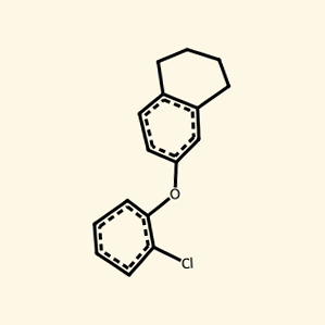 Clc1ccccc1Oc1ccc2c(c1)CCCC2